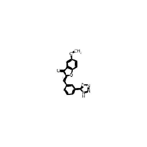 COc1ccc2c(c1)C(=O)/C(=C/c1cccc(-c3nnn[nH]3)c1)O2